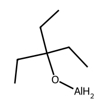 CCC(CC)(CC)[O][AlH2]